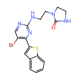 O=C1NCCN1CCNc1ncc(Br)c(-c2cc3ccccc3s2)n1